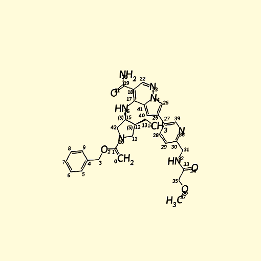 C=C(OCc1ccccc1)N1C[C@H](CC)[C@H](Nc2c(C(N)=O)cnn3cc(-c4ccc(CNC(=O)COC)nc4)cc23)C1